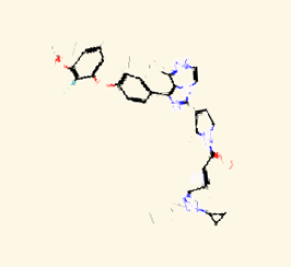 COc1cccc(Oc2ccc(-c3nc([C@@H]4CCN(C(=O)/C=C/CN(C)C5CC5)C4)n4ccnc(C)c34)cc2)c1F